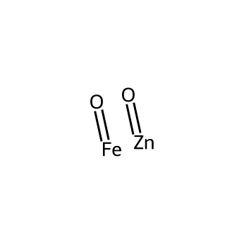 [O]=[Fe].[O]=[Zn]